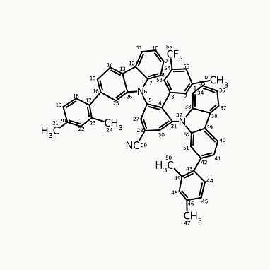 Cc1cc(-c2c(-n3c4ccccc4c4ccc(-c5ccc(C)cc5C)cc43)cc(C#N)cc2-n2c3ccccc3c3ccc(-c4ccc(C)cc4C)cc32)cc(C(F)(F)F)c1